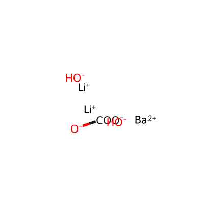 O=C([O-])[O-].[Ba+2].[Li+].[Li+].[OH-].[OH-]